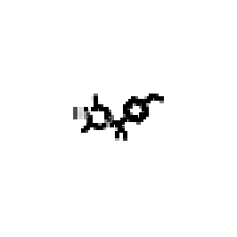 CCc1ccc(C(=O)N2CC(C)NC(C)C2)cc1